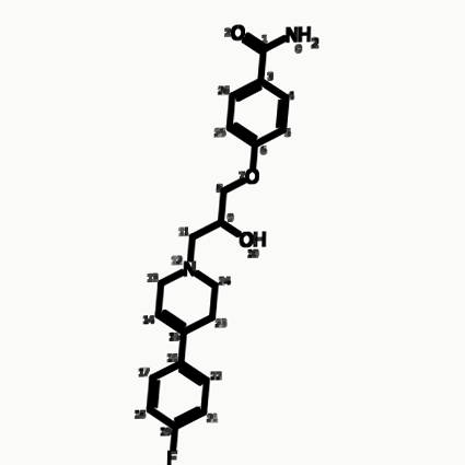 NC(=O)c1ccc(OCC(O)CN2CC=C(c3ccc(F)cc3)CC2)cc1